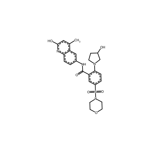 Cc1cc(O)nc2ccc(NC(=O)c3cc(S(=O)(=O)N4CCOCC4)ccc3N3CCC(O)C3)cc12